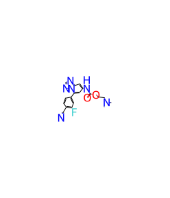 CN(C)CCOC(=O)Nc1cc(-c2ccc(C#N)c(F)c2)n2ncnc2c1